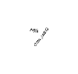 [Ag].[O]=[Ti]=[O].[Ti]